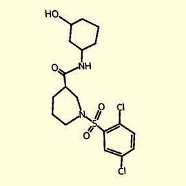 O=C(NC1CCCC(O)C1)C1CCCN(S(=O)(=O)c2cc(Cl)ccc2Cl)C1